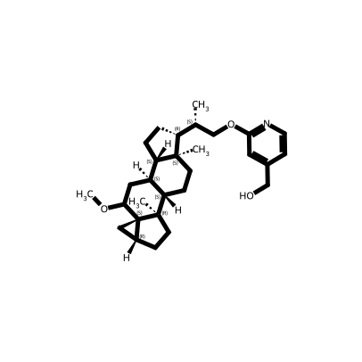 COC1C[C@H]2[C@@H]3CC[C@H]([C@H](C)COc4cc(CO)ccn4)[C@@]3(C)CC[C@@H]2[C@@]2(C)CC[C@@H]3C[C@]132